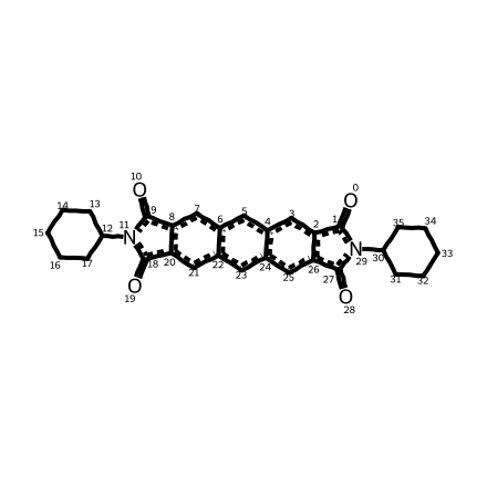 O=c1c2cc3cc4cc5c(=O)n(C6CCCCC6)c(=O)c5cc4cc3cc2c(=O)n1C1CCCCC1